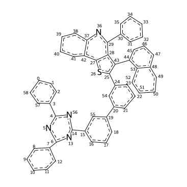 c1ccc(-c2nc(-c3ccccc3)nc(-c3cccc(-c4cccc(-c5sc6c(c(-c7ccccc7)nc7ccccc76)c5-c5cccc6ccccc56)c4)c3)n2)cc1